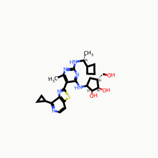 Cc1nc(N[C@H](C)C2CCC2)nc(NC2C[C@H](CO)[C@@H](O)[C@H]2O)c1-c1nc2c(C3CC3)nccc2s1